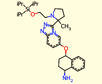 CC(C)[Si](OCCN1CCCC1(C)c1nnc2ccc(O[C@@H]3CC[C@H](N)c4ccccc43)cn12)(C(C)C)C(C)C